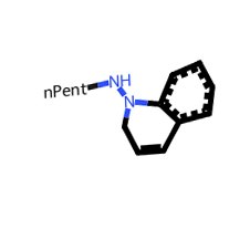 CCCCCNN1CC=Cc2ccccc21